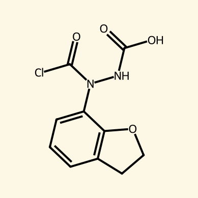 O=C(O)NN(C(=O)Cl)c1cccc2c1OCC2